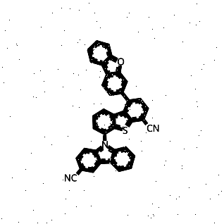 N#Cc1ccc2c(c1)c1ccccc1n2-c1cccc2c1sc1c(C#N)ccc(-c3ccc4c(c3)oc3ccccc34)c12